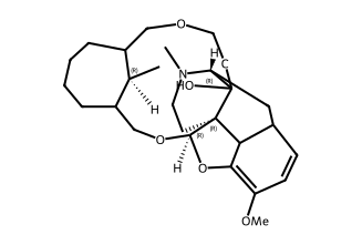 COC1=C2O[C@H]3OCC4CCCCC(COCCC5(O)[C@H]6CC(C=C1)C2[C@@]35CCN6C)[C@H]4C